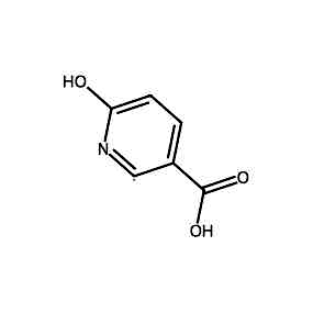 O=C(O)c1[c]nc(O)cc1